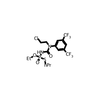 CCCSP(=O)(NC(=O)N(CCCl)c1cc(C(F)(F)F)cc(C(F)(F)F)c1)OCC